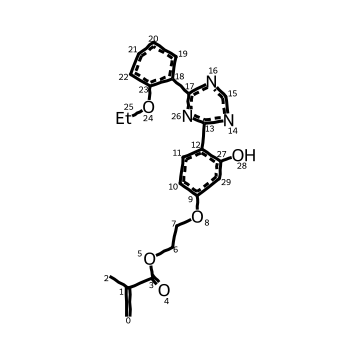 C=C(C)C(=O)OCCOc1ccc(-c2ncnc(-c3ccccc3OCC)n2)c(O)c1